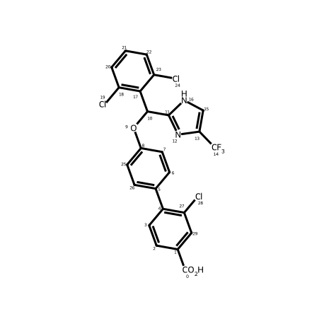 O=C(O)c1ccc(-c2ccc(OC(c3nc(C(F)(F)F)c[nH]3)c3c(Cl)cccc3Cl)cc2)c(Cl)c1